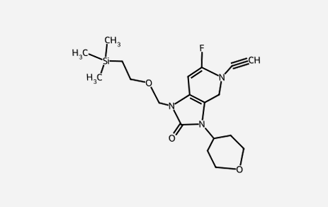 C#CN1Cc2c(n(COCC[Si](C)(C)C)c(=O)n2C2CCOCC2)C=C1F